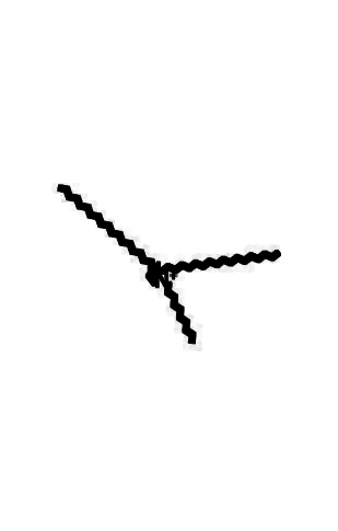 CCCCCCCCCCCCCCCCCCn1cc[n+](CCCCCCCCCC)c1CCCCCCCCCCCCCCCCC